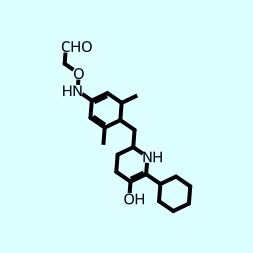 CC1=CC(NOCC=O)=CC(C)C1CC1CCC(O)=C(C2CCCCC2)N1